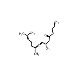 C=CCOC(=O)CC(C)C=C=C(C)CCC=C(C)C